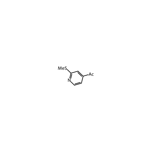 CSc1cc(C(C)=O)ccn1